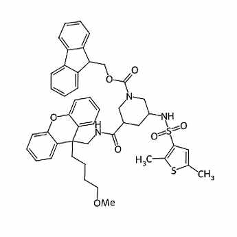 COCCCCC1(CNC(=O)C2CC(NS(=O)(=O)c3cc(C)sc3C)CN(C(=O)OCC3c4ccccc4-c4ccccc43)C2)c2ccccc2Oc2ccccc21